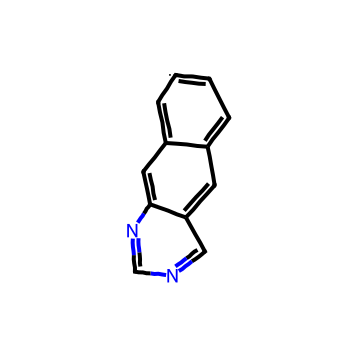 [c]1ccc2cc3cncnc3cc2c1